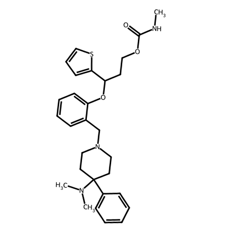 CNC(=O)OCCC(Oc1ccccc1CN1CCC(c2ccccc2)(N(C)C)CC1)c1cccs1